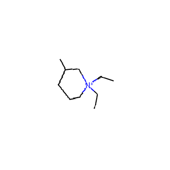 CC[N+]1(CC)CCCC(C)C1